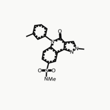 CNS(=O)(=O)c1ccc2c(c1)c1nn(C)cc1c(=O)n2-c1cccc(C)c1